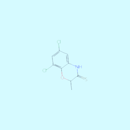 CC1Oc2c(Cl)cc(Cl)cc2NC1=S